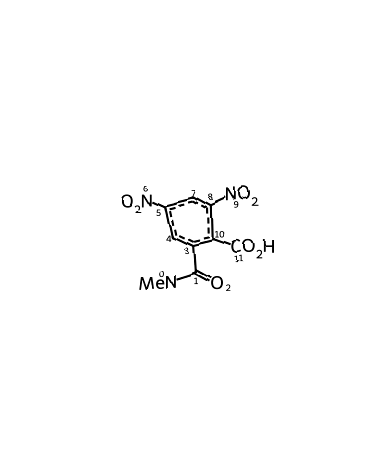 CNC(=O)c1cc([N+](=O)[O-])cc([N+](=O)[O-])c1C(=O)O